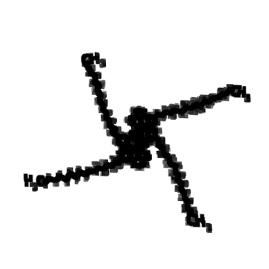 CCCCCCCCCCCCCCCCCCc1ccc(C2(c3ccc(CCCCCCCCCCCCCCCCCC)cc3)c3c(sc4ccsc34)-c3sc4c5c(sc4c32)-c2sc3ccsc3c2C5(c2ccc(CCCCCCCCCCCCCCCCCC)cc2)c2ccc(CCCCCCCCCCCCCCCCCC)cc2)cc1